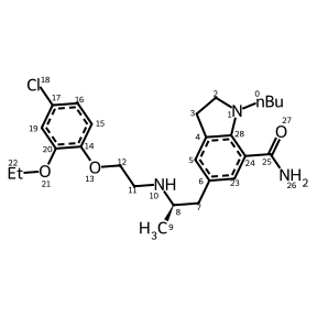 CCCCN1CCc2cc(C[C@@H](C)NCCOc3ccc(Cl)cc3OCC)cc(C(N)=O)c21